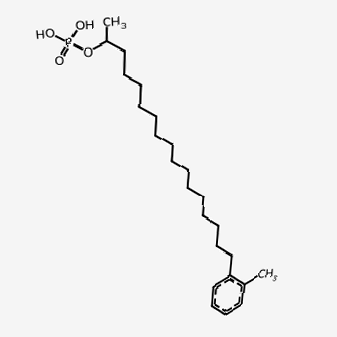 Cc1ccccc1CCCCCCCCCCCCCCCC(C)OP(=O)(O)O